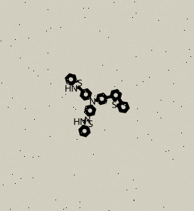 c1ccc2c(c1)NC(c1ccc(N(c3ccc(-c4cccc5c4sc4ccccc45)cc3)c3ccc(N4Nc5ccccc5S4)cc3)cc1)S2